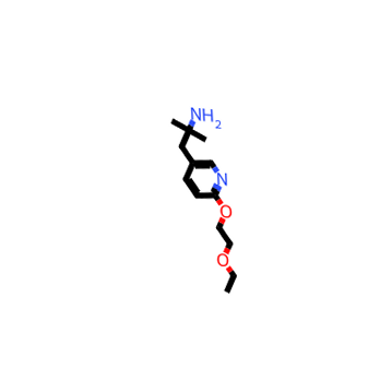 CCOCCOc1ccc(CC(C)(C)N)cn1